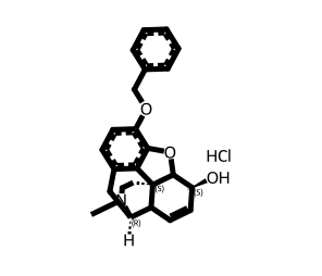 CN1CC[C@]23c4c5ccc(OCc6ccccc6)c4OC2[C@@H](O)C=CC3[C@H]1C5.Cl